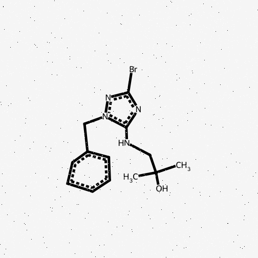 CC(C)(O)CNc1nc(Br)nn1Cc1ccccc1